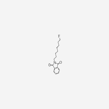 O=C1c2ccccc2C(=O)N1CCCCCCCCF